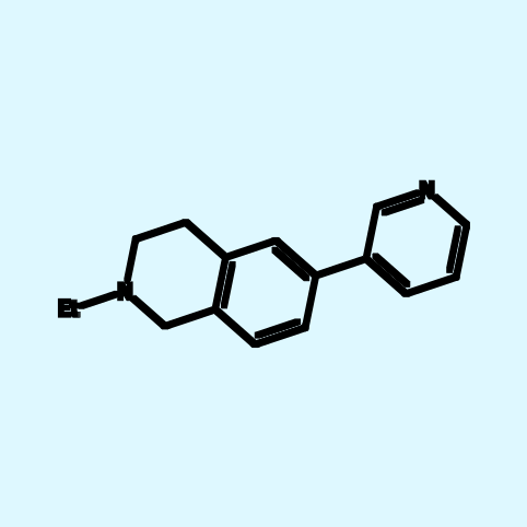 CCN1CCc2cc(-c3cccnc3)ccc2C1